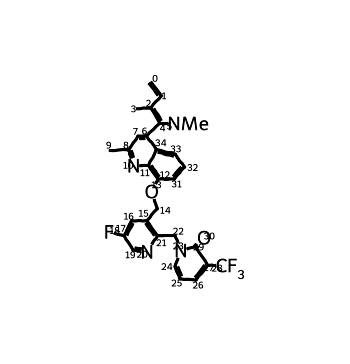 C=C/C(C)=C(\NC)c1cc(C)nc2c(OCc3cc(F)cnc3Cn3cccc(C(F)(F)F)c3=O)cccc12